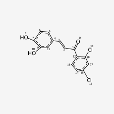 O=C(C=Cc1ccc(O)c(O)c1)c1ccc(Cl)cc1Cl